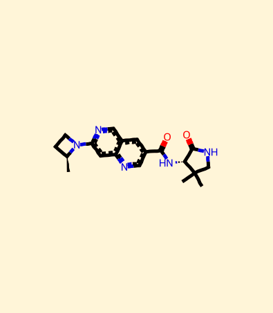 C[C@H]1CCN1c1cc2ncc(C(=O)N[C@@H]3C(=O)NCC3(C)C)cc2cn1